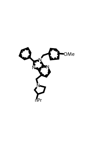 CCCC1CCN(Cc2ccnc3c2nc(-c2ccccc2)n3Cc2ccc(OC)cc2)C1